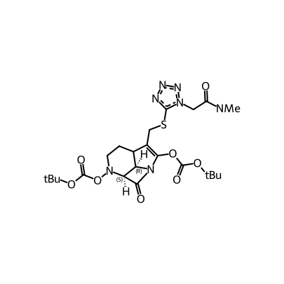 CNC(=O)Cn1nnnc1SCC1=C(OC(=O)OC(C)(C)C)N2C(=O)[C@@H]3[C@H]2C1CCN3OC(=O)OC(C)(C)C